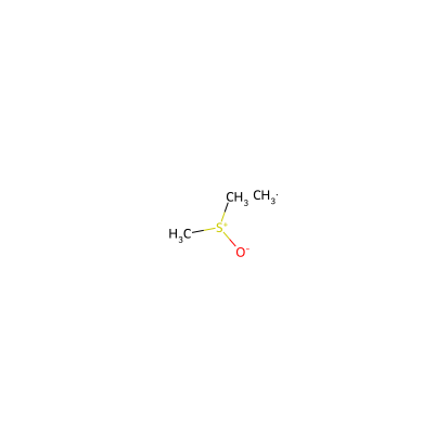 C[S+](C)[O-].[CH3]